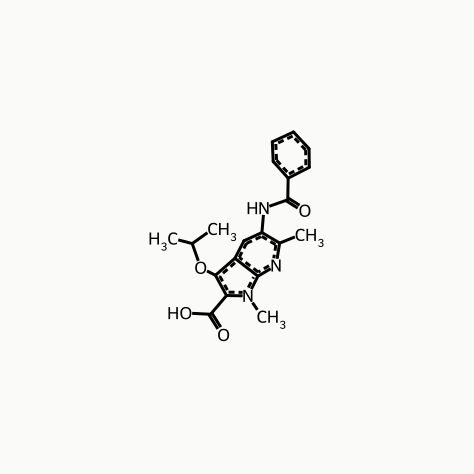 Cc1nc2c(cc1NC(=O)c1ccccc1)c(OC(C)C)c(C(=O)O)n2C